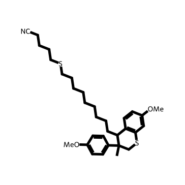 COc1ccc(C2(C)CSc3cc(OC)ccc3C2CCCCCCCCCSCCCCC#N)cc1